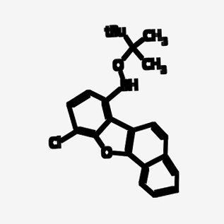 CC(C)(C)C(C)(C)OBc1ccc(Cl)c2oc3c4ccccc4ccc3c12